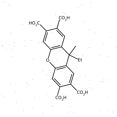 CCC1(C)c2cc(C(=O)O)c(C(=O)O)cc2Oc2cc(C(=O)O)c(C(=O)O)cc21